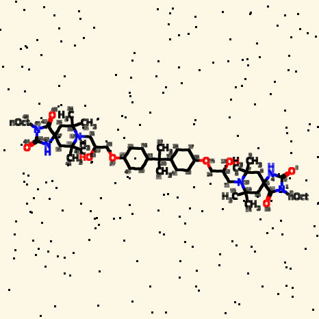 CCCCCCCCN1C(=O)NC2(CC(C)(C)N(CC(O)COC3CCC(C(C)(C)C4CCC(OCC(O)CN5C(C)(C)CC6(CC5(C)C)NC(=O)N(CCCCCCCC)C6=O)CC4)CC3)C(C)(C)C2)C1=O